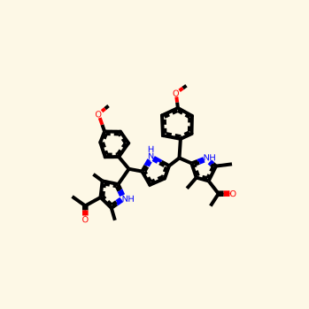 COc1ccc(C(c2ccc(C(c3ccc(OC)cc3)c3[nH]c(C)c(C(C)=O)c3C)[nH]2)c2[nH]c(C)c(C(C)=O)c2C)cc1